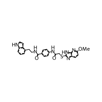 COc1ccc2nc(SCC(=O)Nc3ccc(C(=O)NCCc4cccc5[nH]ccc45)cc3)[nH]c2n1